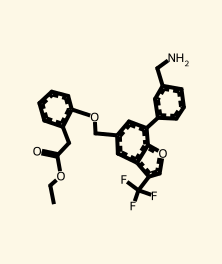 CCOC(=O)Cc1ccccc1OCc1cc(-c2cccc(CN)c2)c2occ(C(F)(F)F)c2c1